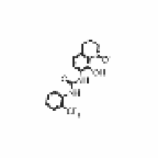 O=C(Nc1ccccc1C(F)(F)F)Nc1ccc2c(c1O)[S+]([O-])CCC2